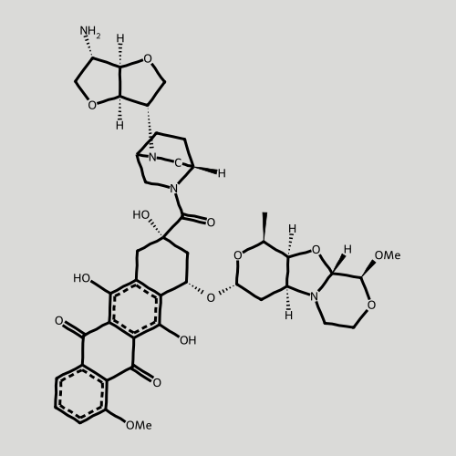 COc1cccc2c1C(=O)c1c(O)c3c(c(O)c1C2=O)C[C@@](O)(C(=O)N1CC2CC[C@H]1CN2[C@H]1CO[C@H]2[C@@H]1OC[C@@H]2N)C[C@@H]3O[C@H]1C[C@H]2[C@H](O[C@@H]3[C@@H](OC)OCCN32)[C@H](C)O1